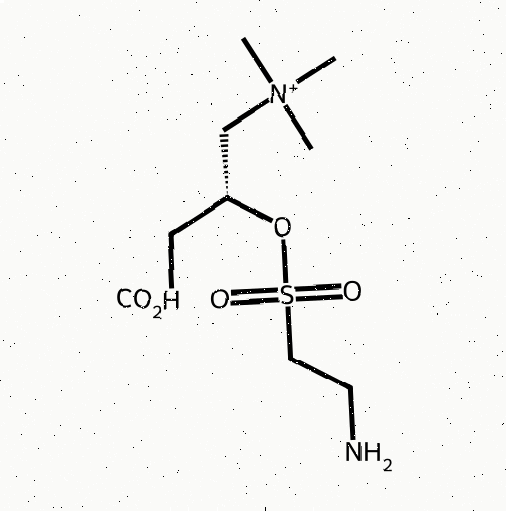 C[N+](C)(C)C[C@@H](CC(=O)O)OS(=O)(=O)CCN